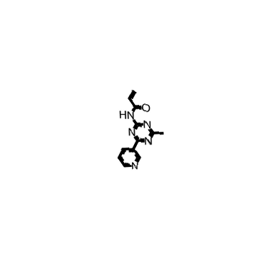 C=CC(=O)Nc1nc(C)nc(-c2cccnc2)n1